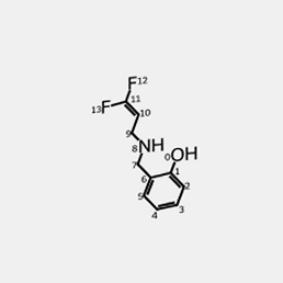 Oc1ccccc1CNCC=C(F)F